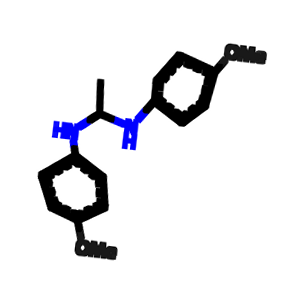 COc1ccc(NC(C)Nc2ccc(OC)cc2)cc1